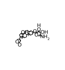 C[C@]12CC[C@H](O[C@H]3OC[C@H](N)C(O)[C@@H]3O)C=C1CCC1C2CC[C@]2(C)[C@@H](C3=CC(=O)OC3)CC[C@]12O